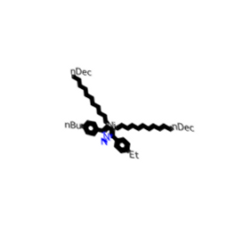 CCCCCCCCCCCCCCCCCCCC[CH2][Ni][CH2]CCCCCCCCCCCCCCCCCCCC.CCCCc1ccc(C2=CC=C(c3ccc(CC)cc3)[N+]2=[N-])cc1